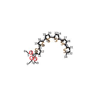 CCO[Si](OCC)(OCC)c1ccc(-c2ccc(-c3ccc(-c4ccc(-c5ccc(-c6ccc(C)s6)s5)s4)s3)s2)s1